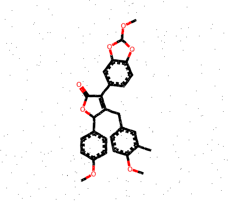 COc1ccc(C2OC(=O)C(c3ccc4c(c3)OC(OC)O4)=C2Cc2ccc(OC)c(C)c2)cc1